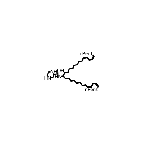 CCCCC/C=C\C/C=C\CCCCCCCCC(CCCCCCCC/C=C\C/C=C\CCCCC)NC(O)C1CNCCN1